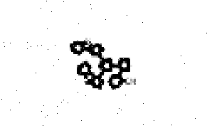 N#Cc1ccccc1-c1ccccc1-c1cc(-c2ccc3sc4ccccc4c3c2)cc(-c2cccc3sc4ccccc4c23)c1